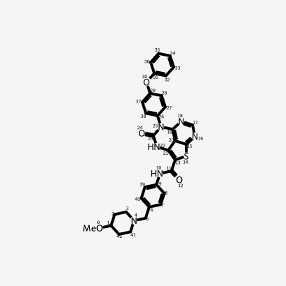 COC1CCN(Cc2ccc(NC(=O)c3sc4ncnc5c4c3NC(=O)N5c3ccc(Oc4ccccc4)cc3)cc2)CC1